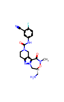 CN1O[C@H](CN)Cn2nc3c(c2C1=O)CN(C(=O)Nc1ccc(F)c(C#N)c1)CC3